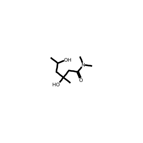 CC(O)CC(C)(O)CC(=O)N(C)C